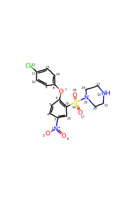 O=[N+]([O-])c1ccc(Oc2ccc(Cl)cc2)c(S(=O)(=O)N2CCNCC2)c1